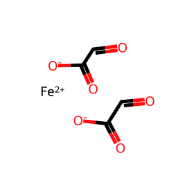 O=CC(=O)[O-].O=CC(=O)[O-].[Fe+2]